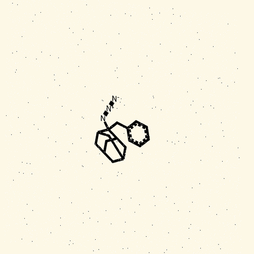 [N-]=[N+]=NC1(Cc2ccccc2)C2CC3CC(C2)CC1C3